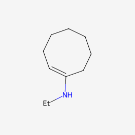 CCN/C1=C/CCCCCC1